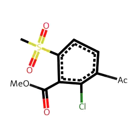 COC(=O)c1c(S(C)(=O)=O)ccc(C(C)=O)c1Cl